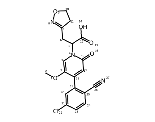 COc1cn(C(CC2=NOCC2)C(=O)O)c(=O)cc1-c1cc(Cl)ccc1C#N